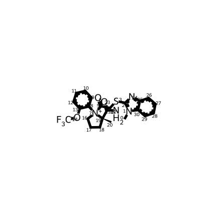 Cn1c(SCC(=O)[N+]2(c3ccccc3OC(F)(F)F)CCC[C@@]2(C)C(N)=O)nc2ccccc21